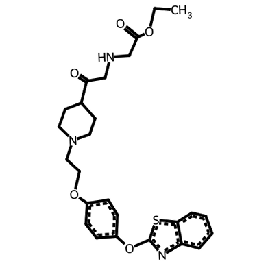 CCOC(=O)CNCC(=O)C1CCN(CCOc2ccc(Oc3nc4ccccc4s3)cc2)CC1